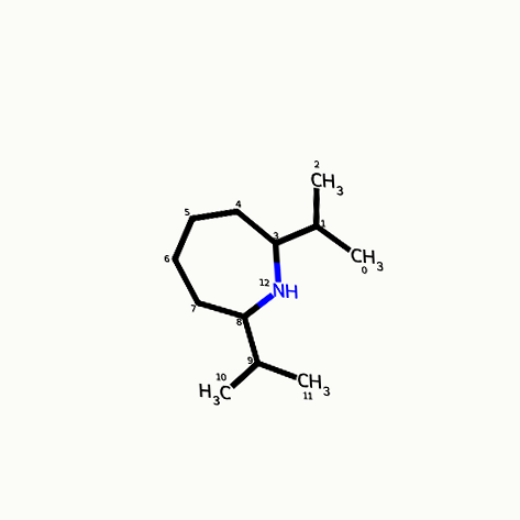 CC(C)C1CCCCC(C(C)C)N1